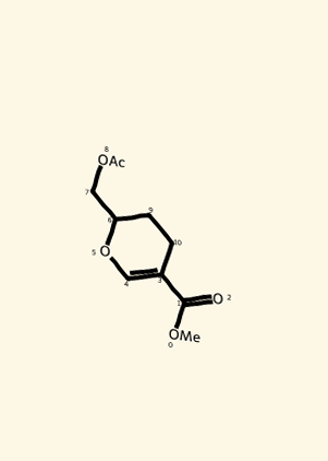 COC(=O)C1=COC(COC(C)=O)CC1